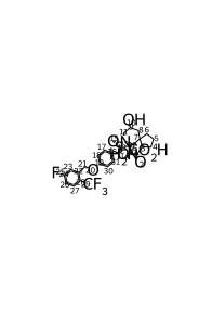 NC(=O)C1CCCC12CC(O)CN(S(=O)(=O)c1ccc(OCc3cc(F)ccc3C(F)(F)F)cc1)C2C(=O)O